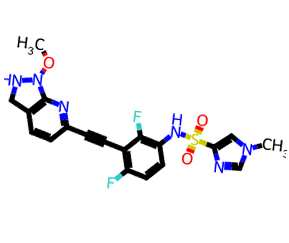 CON1NCc2ccc(C#Cc3c(F)ccc(NS(=O)(=O)c4cn(C)cn4)c3F)nc21